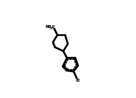 O=C(O)C1CCC(c2ccc(Cl)cc2)CC1